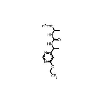 CCCCCC(C)NC(=O)N[C@@H](C)c1cc(OCC(F)(F)F)ncn1